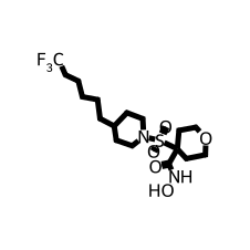 O=C(NO)C1(S(=O)(=O)N2CCC(CCCCCC(F)(F)F)CC2)CCOCC1